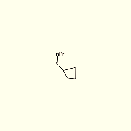 CC[CH]SC1CCC1